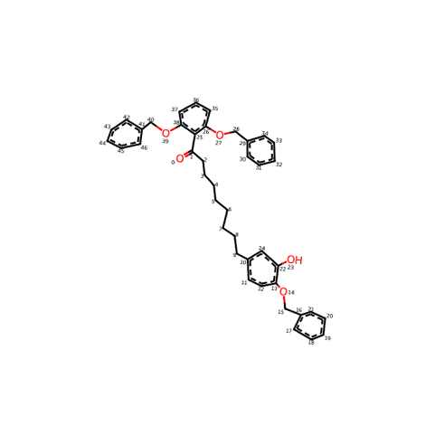 O=C(CCCCCCCCc1ccc(OCc2ccccc2)c(O)c1)c1c(OCc2ccccc2)cccc1OCc1ccccc1